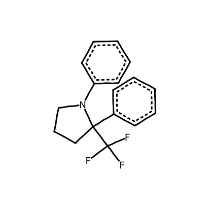 FC(F)(F)C1(c2ccccc2)CCCN1c1ccccc1